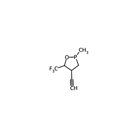 C#CC1CP(C)OC1C(F)(F)F